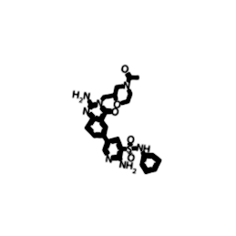 CC(=O)N1CCOC(Cn2c(N)nc3ccc(-c4cnc(N)c(S(=O)(=O)Nc5ccccc5)c4)cc3c2=O)C1